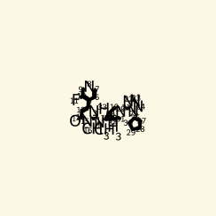 CN(c1nc(-c2ccncc2F)cc(=O)n1C)[C@H]1[C@@H]2CN(c3nnnn3C3CCCC3)C[C@@H]21